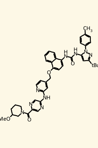 COC1CCCN(C(=O)c2cnc(Nc3cc(COc4ccc(NC(=O)Nc5cc(C(C)(C)C)nn5-c5ccc(C)cc5)c5ccccc45)ccn3)cn2)C1